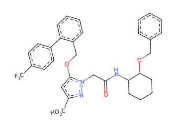 O=C(Cn1nc(C(=O)O)cc1OCc1ccccc1-c1ccc(C(F)(F)F)cc1)NC1CCCCC1OCc1ccccc1